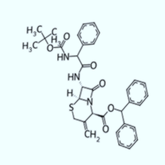 C=C1CS[C@H]2[C@H](NC(=O)C(NC(=O)OC(C)(C)C)c3ccccc3)C(=O)N2[C@H]1C(=O)OC(c1ccccc1)c1ccccc1